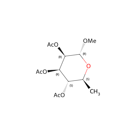 CO[C@@H]1O[C@@H](C)[C@H](OC(C)=O)[C@@H](OC(C)=O)[C@H]1OC(C)=O